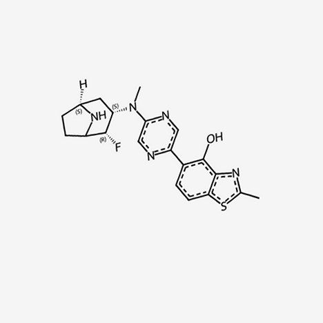 Cc1nc2c(O)c(-c3cnc(N(C)[C@H]4C[C@@H]5CCC(N5)[C@H]4F)cn3)ccc2s1